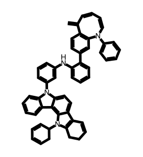 C=C1/C=C\C=C/N(c2ccccc2)c2cc(-c3ccccc3Nc3cccc(-n4c5ccccc5c5c6c(ccc54)c4c(n6C5C=CC=CC5)CCC=C4)c3)ccc21